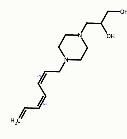 C=C/C=C\C=C/CN1CCN(CC(O)CO)CC1